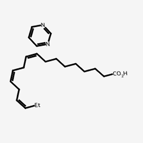 CC/C=C\C/C=C\C/C=C\CCCCCCCC(=O)O.c1cncnc1